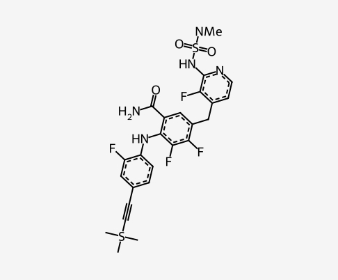 CNS(=O)(=O)Nc1nccc(Cc2cc(C(N)=O)c(Nc3ccc(C#CS(C)(C)C)cc3F)c(F)c2F)c1F